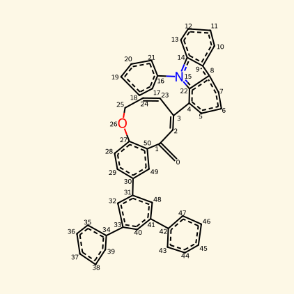 C=C1/C=C(c2cccc3c4ccccc4n(-c4ccccc4)c23)\C=C/COc2ccc(-c3cc(-c4ccccc4)cc(-c4ccccc4)c3)cc21